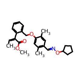 CC=C(C(=O)OC)c1ccccc1COc1cc(C)c(C=NOC2CCCC2)cc1C